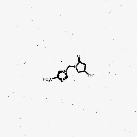 CCCC1CC(=O)N(Cn2cnc(C(=O)O)c2)C1